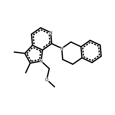 COCn1c(C)c(C)c2ccnc(N3CCc4ccccc4C3)c21